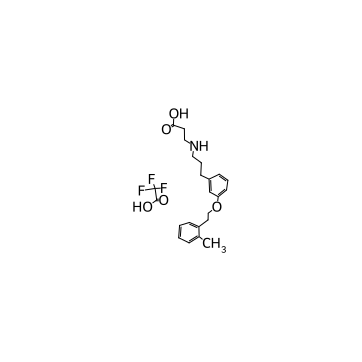 Cc1ccccc1CCOc1cccc(CCCNCCC(=O)O)c1.O=C(O)C(F)(F)F